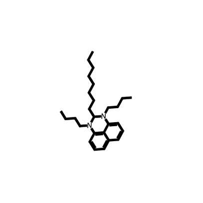 CCCCCCCCC1N(CCCC)c2cccc3cccc(c23)N1CCCC